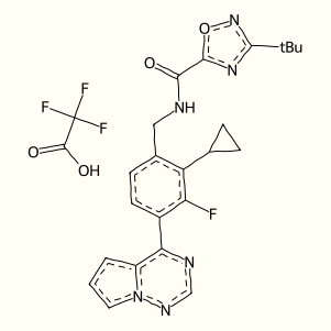 CC(C)(C)c1noc(C(=O)NCc2ccc(-c3ncnn4cccc34)c(F)c2C2CC2)n1.O=C(O)C(F)(F)F